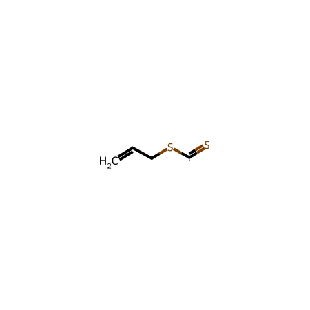 C=CCS[C]=S